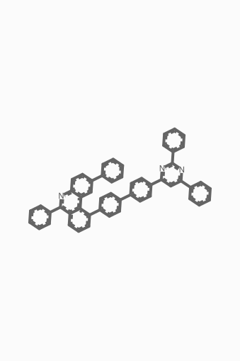 c1ccc(-c2ccc3nc(-c4ccccc4)c4cccc(-c5ccc(-c6ccc(-c7cc(-c8ccccc8)nc(-c8ccccc8)n7)cc6)cc5)c4c3c2)cc1